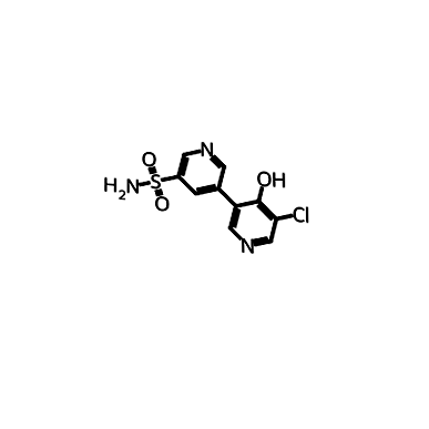 NS(=O)(=O)c1cncc(-c2cncc(Cl)c2O)c1